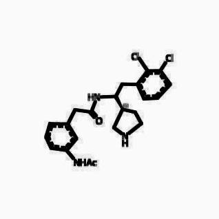 CC(=O)Nc1cccc(CC(=O)NC(Cc2cccc(Cl)c2Cl)[C@H]2CCNC2)c1